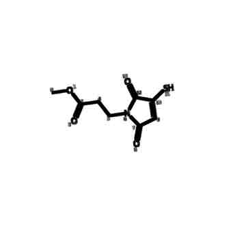 COC(=O)CCN1C(=O)C=C(S)C1=O